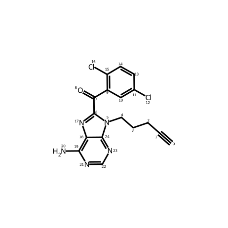 C#CCCCn1c(C(=O)c2cc(Cl)ccc2Cl)nc2c(N)ncnc21